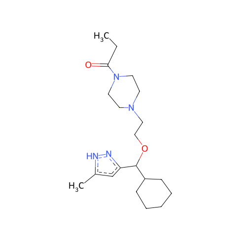 CCC(=O)N1CCN(CCOC(c2cc(C)[nH]n2)C2CCCCC2)CC1